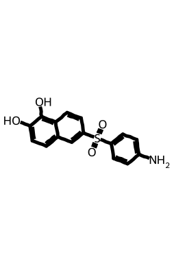 Nc1ccc(S(=O)(=O)c2ccc3c(O)c(O)ccc3c2)cc1